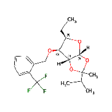 CC[C@H]1O[C@@H]2OC(C)(C(C)C)O[C@@H]2[C@H]1OCc1ccccc1C(F)(F)F